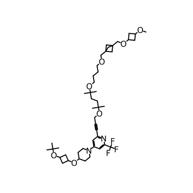 COC1CC(OCC23CC(COCCCCOC(C)(C)CCC(C)(C)OCC#Cc4cc(N5CCC(OC6CC(OC(C)(C)C)C6)CC5)cc(C(F)(F)F)n4)(C2)C3)C1